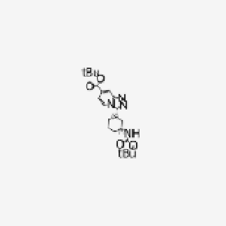 CC(C)(C)OC(=O)N[C@@H]1CCC[C@H](c2nnc3cc(C(=O)OC(C)(C)C)ccn23)C1